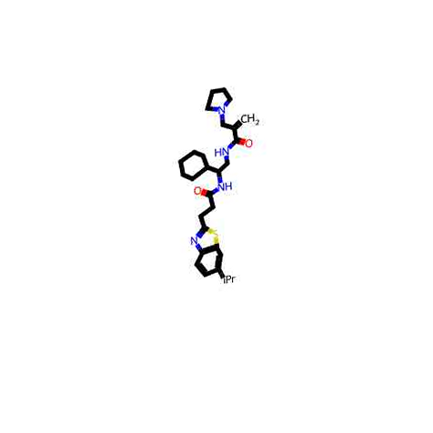 C=C(CN1CCCC1)C(=O)NCC(NC(=O)CCc1nc2ccc(C(C)C)cc2s1)C1CCCCC1